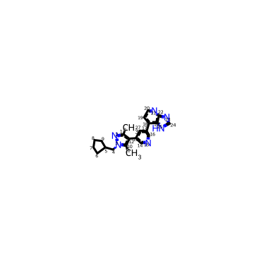 Cc1nn(CC2CCCC2)c(C)c1-c1cncc(-c2ccnc3nc[nH]c23)c1